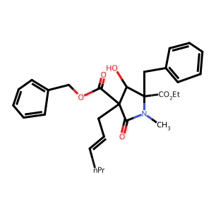 CCC/C=C/CC1(C(=O)OCc2ccccc2)C(=O)N(C)C(Cc2ccccc2)(C(=O)OCC)C1O